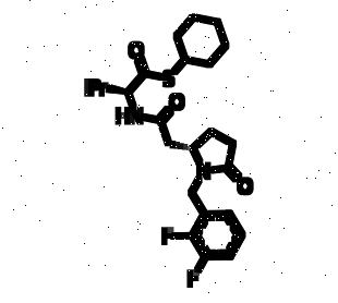 CC(C)[C@H](NC(=O)C[C@@H]1CCC(=O)N1Cc1cccc(F)c1F)C(=O)SC1CCCCC1